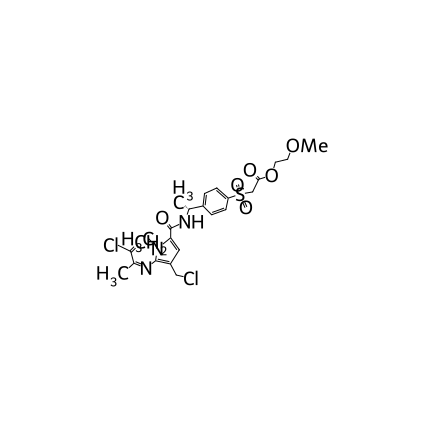 C=C(Cl)/C(C)=N\c1c(CCl)cc(C(=O)N[C@H](C)c2ccc(S(=O)(=O)CC(=O)OCCOC)cc2)n1C